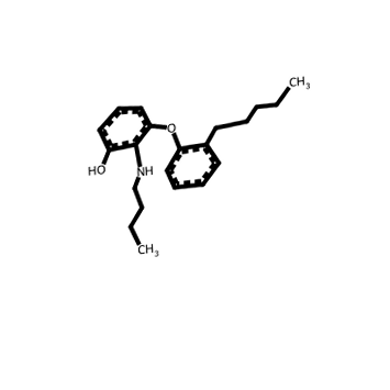 CCCCCc1ccccc1Oc1cccc(O)c1NCCCC